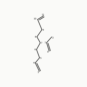 C=CC.C=CCCCCCC=C